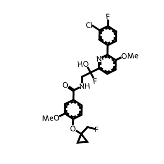 COc1cc(C(=O)NCC(O)(F)c2ccc(OC)c(-c3ccc(F)c(Cl)c3)n2)ccc1OC1(CF)CC1